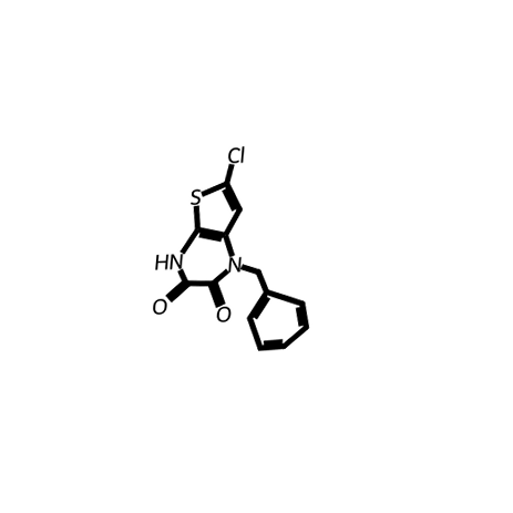 O=c1[nH]c2sc(Cl)cc2n(Cc2ccccc2)c1=O